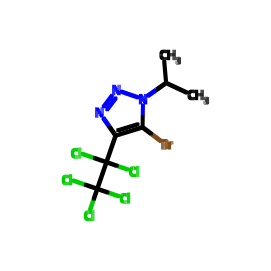 CC(C)n1nnc(C(Cl)(Cl)C(Cl)(Cl)Cl)c1Br